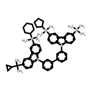 CC(C)(c1ccc2c(c1)c1cc([Si](C)(C)C3CCCCC3)ccc1n2-c1cccc(-c2cccc(-n3c4ccc([Si](C)(C)C)cc4c4cc([Si](C)(C)C5CCCC5)ccc43)c2)c1)C1CC1